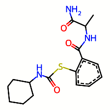 CC(NC(=O)c1ccccc1SC(=O)NC1CCCCC1)C(N)=O